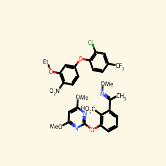 CCOc1cc(Oc2ccc(C(F)(F)F)cc2Cl)ccc1[N+](=O)[O-].CON=C(C)c1cccc(Oc2nc(OC)cc(OC)n2)c1C(=O)O